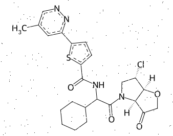 Cc1cnnc(-c2ccc(C(=O)NC(C(=O)N3C[C@H](Cl)[C@H]4OCC(=O)[C@H]43)C3CCCCC3)s2)c1